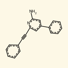 Nc1cc(-c2ccccc2)cc(C#Cc2ccccc2)n1